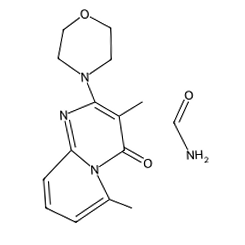 Cc1c(N2CCOCC2)nc2cccc(C)n2c1=O.NC=O